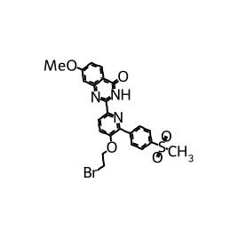 COc1ccc2c(=O)[nH]c(-c3ccc(OCCBr)c(-c4ccc(S(C)(=O)=O)cc4)n3)nc2c1